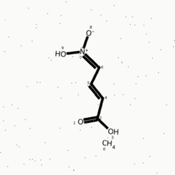 C.O=C(O)C=CC=[N+]([O-])O